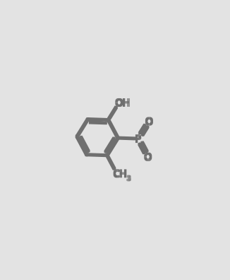 Cc1cccc(O)c1P(=O)=O